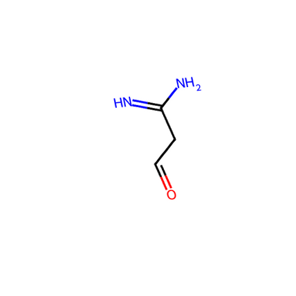 N=C(N)CC=O